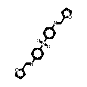 O=S(=O)(c1ccc(N=Cc2ccco2)cc1)c1ccc(N=Cc2ccco2)cc1